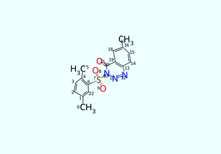 Cc1ccc(C)c(S(=O)(=O)n2nnc3ccc(C)cc3c2=O)c1